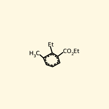 CCOC(=O)c1cccc(C)c1CC